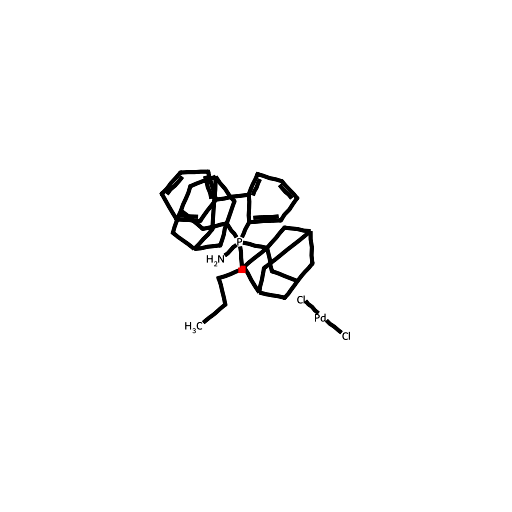 CCCCP(N)(c1ccccc1-c1ccccc1)(C12CC3CC(CC(C3)C1)C2)C12CC3CC(CC(C3)C1)C2.[Cl][Pd][Cl]